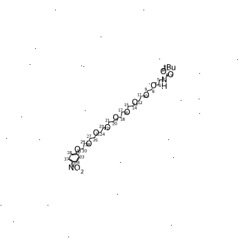 CC(C)(C)OC(=O)NCCOCCOCCOCCOCCOCCOCCOCCOCCOc1ccc([N+](=O)[O-])cc1